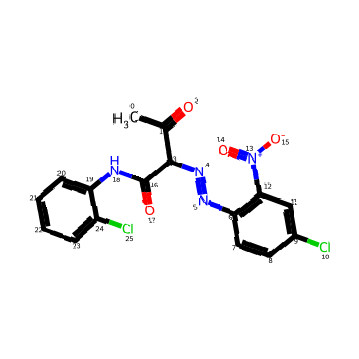 CC(=O)C(N=Nc1ccc(Cl)cc1[N+](=O)[O-])C(=O)Nc1ccccc1Cl